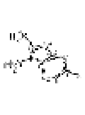 Cc1ccc2c(N)c(N)sc2n1